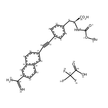 CC(C)(C)OC(=O)N[C@@H](Cc1ccc(C#Cc2ccc3cc(C(=N)N)ccc3c2)cc1)C(=O)O.O=C(O)C(F)(F)F